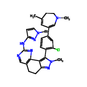 CCn1ccc(Nc2ncc3c(n2)-c2c(nn(C)c2-c2ccc(C4=CN(C)CCC(C)=C4)cc2Cl)CC3)n1